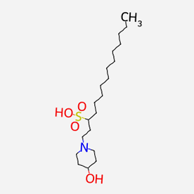 CCCCCCCCCCCCC(CCN1CCC(O)CC1)S(=O)(=O)O